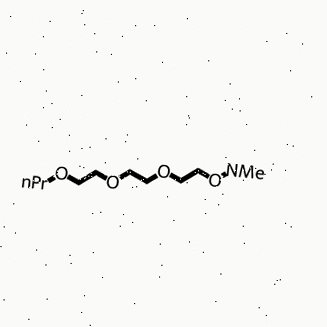 CCCOCCOCCOCCONC